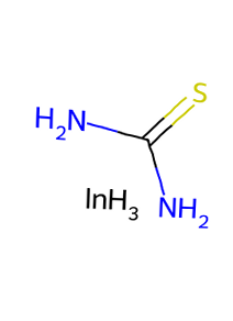 NC(N)=S.[InH3]